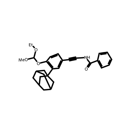 CCOC(OC)Oc1ccc(C#CNC(=O)c2ccccc2)cc1C12CC3CC(CC(C3)C1)C2